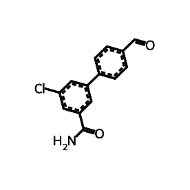 NC(=O)c1cc(Cl)cc(-c2ccc(C=O)cc2)c1